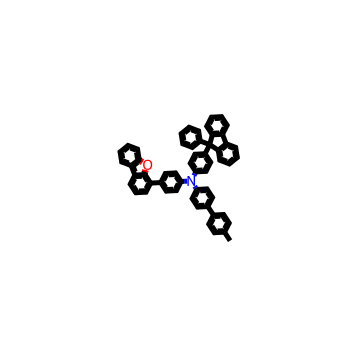 Cc1ccc(-c2ccc(N(c3ccc(-c4cccc5c4oc4ccccc45)cc3)c3ccc(C4(c5ccccc5)c5ccccc5-c5ccccc54)cc3)cc2)cc1